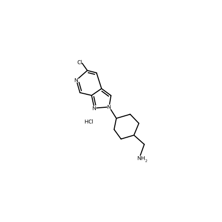 Cl.NCC1CCC(n2cc3cc(Cl)ncc3n2)CC1